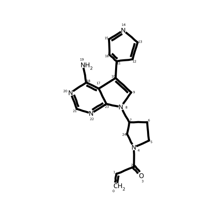 C=CC(=O)N1CCC(n2cc(-c3ccncc3)c3c(N)ncnc32)C1